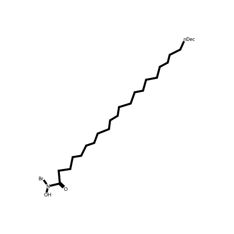 CCCCCCCCCCCCCCCCCCCCCCCCCCCCCCC(=O)N(O)Br